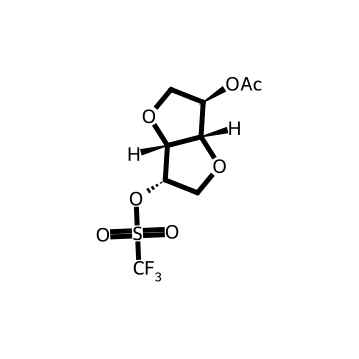 CC(=O)O[C@@H]1CO[C@@H]2[C@H]1OC[C@@H]2OS(=O)(=O)C(F)(F)F